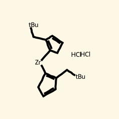 CC(C)(C)CC1=[C]([Zr][C]2=C(CC(C)(C)C)C=CC2)CC=C1.Cl.Cl